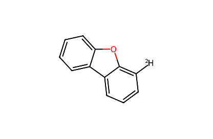 [2H]c1cccc2c1oc1ccccc12